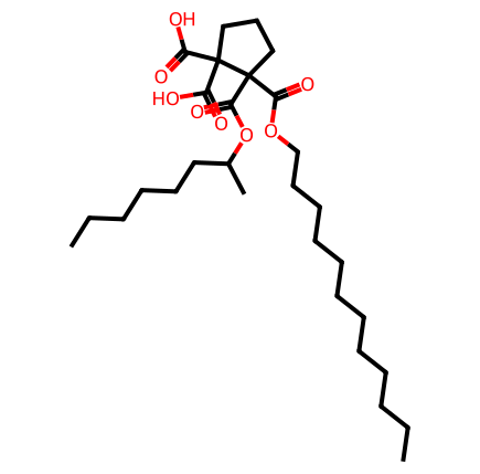 CCCCCCCCCCCCOC(=O)C1(C(=O)OC(C)CCCCCC)CCCC1(C(=O)O)C(=O)O